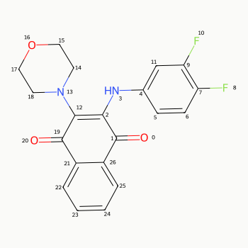 O=C1C(Nc2ccc(F)c(F)c2)=C(N2CCOCC2)C(=O)c2ccccc21